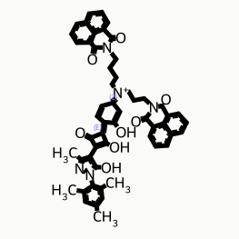 Cc1cc(C)c(-n2nc(C)c(C3=C(O)/C(=C4C=C/C(=[N+](\CCCCN5C(=O)c6cccc7cccc(c67)C5=O)CCCN5C(=O)c6cccc7cccc(c67)C5=O)C=C/4O)C3=O)c2O)c(C)c1